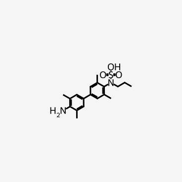 CCCN(c1c(C)cc(-c2cc(C)c(N)c(C)c2)cc1C)S(=O)(=O)O